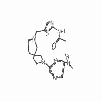 CNc1cncc(N2CCC3(CCN(Cc4cnc(NC(C)=O)s4)C3)C2)n1